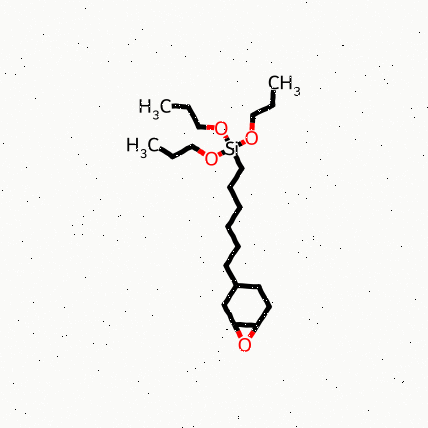 CCCO[Si](CCCCCCC1CCC2OC2C1)(OCCC)OCCC